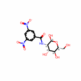 O=C(N[C@H]1[C@@H](O)[C@H](O)[C@@H](CO)O[C@@H]1O)c1cc([N+](=O)[O-])cc([N+](=O)[O-])c1